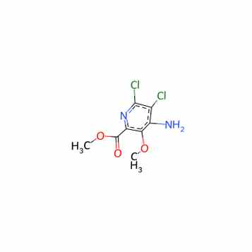 COC(=O)c1nc(Cl)c(Cl)c(N)c1OC